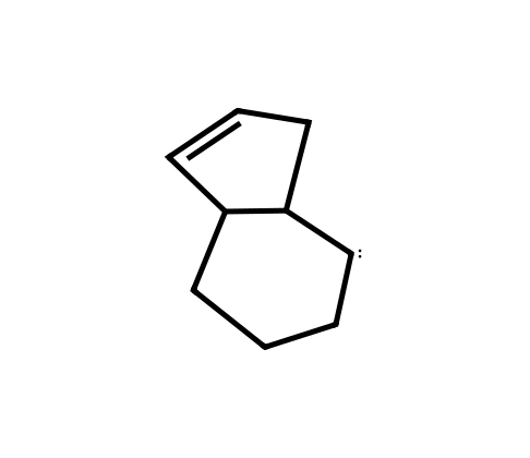 [C]1CCCC2C=CCC12